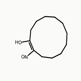 O=N/C1=C(\O)CCCCCCCCCC1